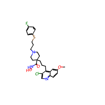 COc1ccc2ncc(Cl)c(CCCC3(C(=O)NO)CCN(CCCSc4ccc(F)cc4)CC3)c2c1